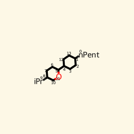 CCCCCC1CCC(C2CCC(C(C)C)CO2)CC1